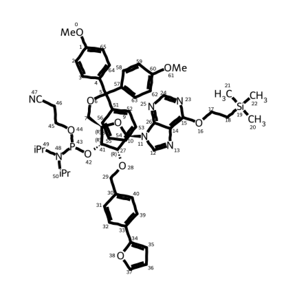 COc1ccc(C(OC[C@H]2O[C@@H](n3cnc4c(OCC[Si](C)(C)C)ncnc43)[C@H](OCc3ccc(-c4ccco4)cc3)[C@@H]2OP(OCCC#N)N(C(C)C)C(C)C)(c2ccccc2)c2ccc(OC)cc2)cc1